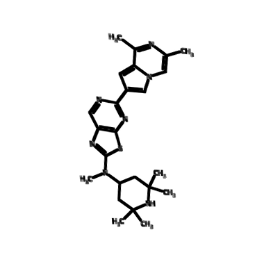 Cc1cn2cc(-c3ncc4nc(N(C)C5CC(C)(C)NC(C)(C)C5)sc4n3)cc2c(C)n1